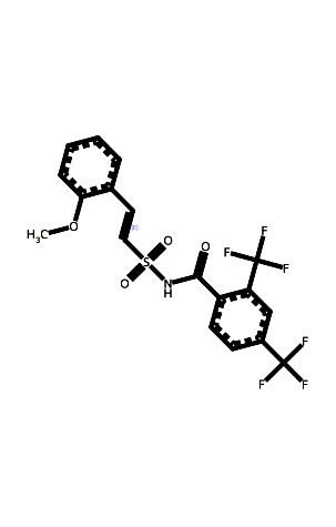 COc1ccccc1/C=C/S(=O)(=O)NC(=O)c1ccc(C(F)(F)F)cc1C(F)(F)F